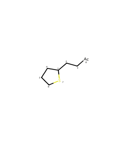 CC(=O)CCC1CCCS1